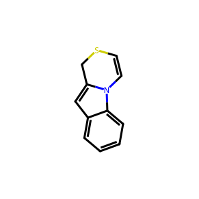 C1=Cn2c(cc3ccccc32)CS1